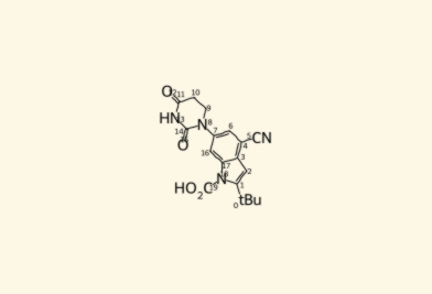 CC(C)(C)c1cc2c(C#N)cc(N3CCC(=O)NC3=O)cc2n1C(=O)O